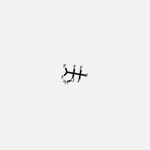 [2H]OC(F)(C(F)F)C(F)(F)F